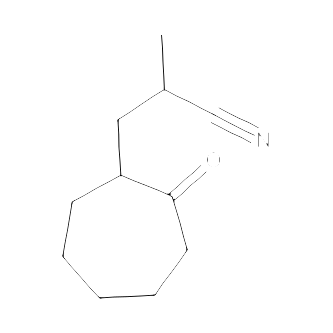 CC(C#N)CC1CCCCCC1=O